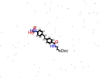 CCCCCCCCCCCCNC(=O)c1ccc(C[CH]c2ccc([NH+]([O-])O)cc2)cc1